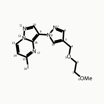 COCCOCc1cnn(-c2cnn3ccc(I)nc23)c1